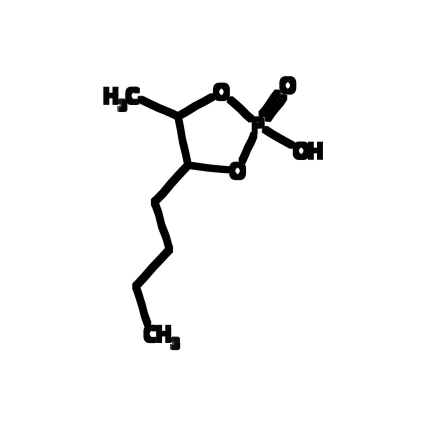 CCCCC1OP(=O)(O)OC1C